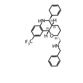 FC(F)(F)c1ccc2c(c1)[C@H]1O[C@@H](CNCc3ccccc3)CC[C@H]1[C@H](C1C=CC=CC1)N2